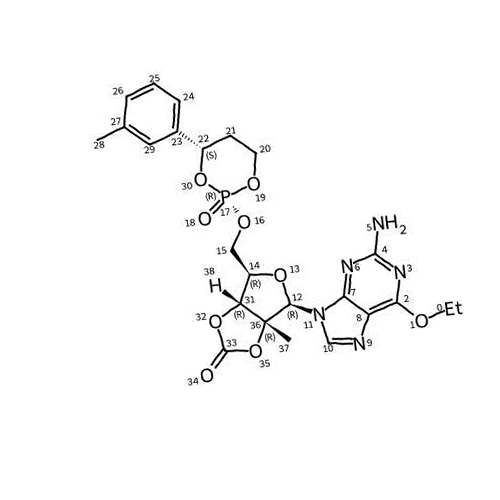 CCOc1nc(N)nc2c1ncn2[C@@H]1O[C@H](CO[P@@]2(=O)OCC[C@@H](c3cccc(C)c3)O2)[C@H]2OC(=O)O[C@]21C